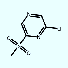 CS(=O)(=O)c1cncc(Cl)n1